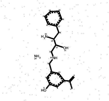 C=C(C)c1cc(O)cc(CNCC(O)C(N)Cc2ccccc2)c1.N